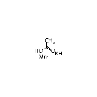 CC(=O)O.[KH].[Mn]